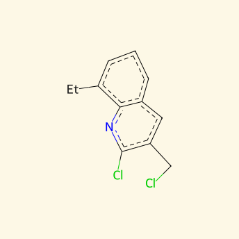 CCc1cccc2cc(CCl)c(Cl)nc12